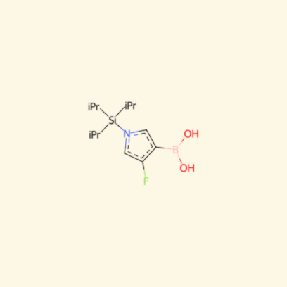 CC(C)[Si](C(C)C)(C(C)C)n1cc(F)c(B(O)O)c1